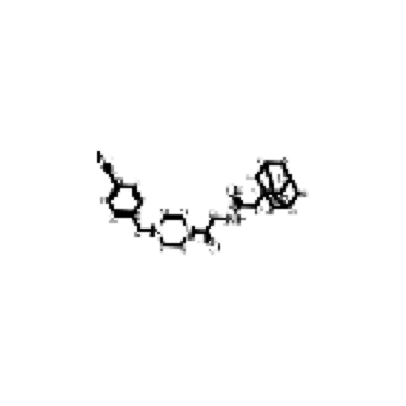 N#Cc1ccc(CN2CCN(C(=O)CNC(=O)CC34CC5CC(CC(C5)C3)C4)CC2)cc1